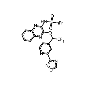 CCCS(=O)(=O)Nc1nc2ccccc2nc1OC(c1ccnc(-c2ncon2)c1)C(F)(F)F